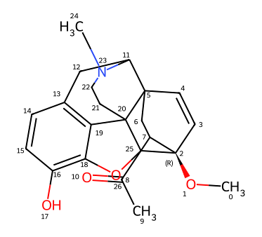 CO[C@]12C=CC3(CC1C(C)=O)C1Cc4ccc(O)c5c4C3(CCN1C)C2O5